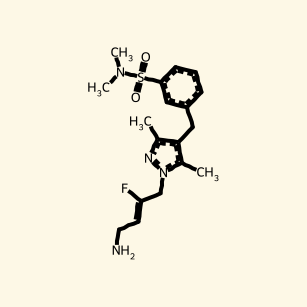 Cc1nn(CC(F)=CCN)c(C)c1Cc1cccc(S(=O)(=O)N(C)C)c1